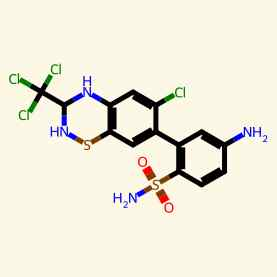 Nc1ccc(S(N)(=O)=O)c(-c2cc3c(cc2Cl)NC(C(Cl)(Cl)Cl)NS3)c1